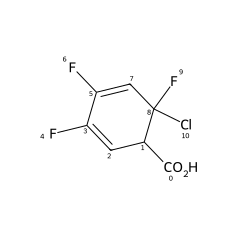 O=C(O)C1C=C(F)C(F)=CC1(F)Cl